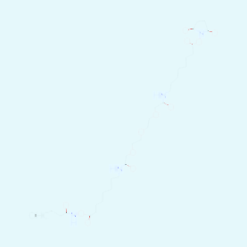 O=CCCC(=O)NOC(=O)CCCCCCCNC(=O)COCCOCCOCC(=O)NCCCCCCCC(=O)ON1C(=O)CCC1=O